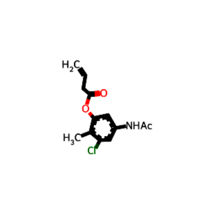 C=CCC(=O)Oc1cc(NC(C)=O)cc(Cl)c1C